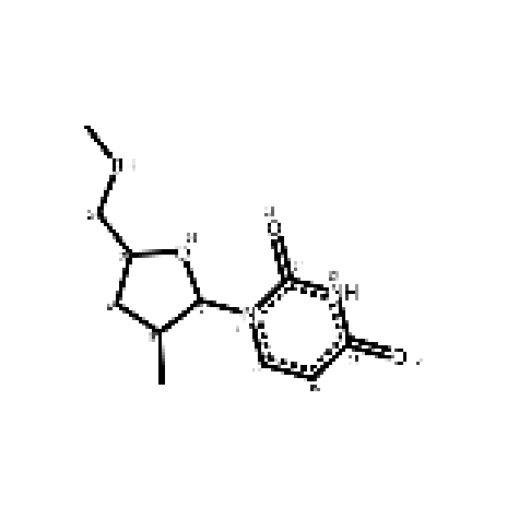 CBCC1CC(C)C(n2ccc(=O)[nH]c2=O)O1